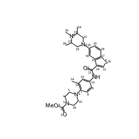 COC(=O)N1CCN(c2ccc(NC(=O)c3csc4ccc(N5CC(C)N(C)C(C)C5)cc34)cc2C)CC1